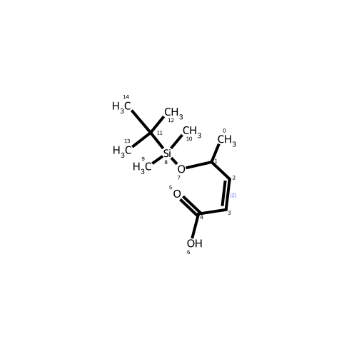 CC(/C=C\C(=O)O)O[Si](C)(C)C(C)(C)C